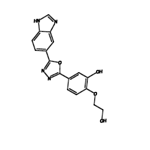 OCCOc1ccc(-c2nnc(-c3ccc4[nH]cnc4c3)o2)cc1O